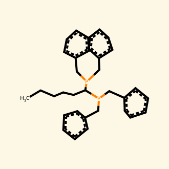 CCCCCC(P(Cc1ccccc1)Cc1ccccc1)P(Cc1ccccc1)Cc1ccccc1